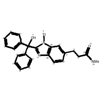 CCn1c(C(O)(c2ccccc2)c2ccccc2)nc2ccc(CCC(=O)NC)cc21